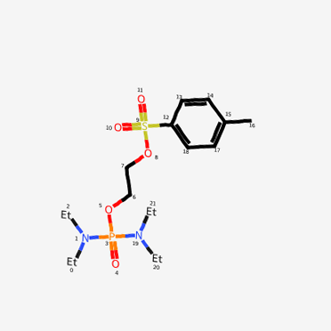 CCN(CC)P(=O)(OCCOS(=O)(=O)c1ccc(C)cc1)N(CC)CC